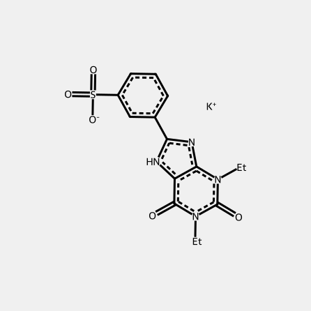 CCn1c(=O)c2[nH]c(-c3cccc(S(=O)(=O)[O-])c3)nc2n(CC)c1=O.[K+]